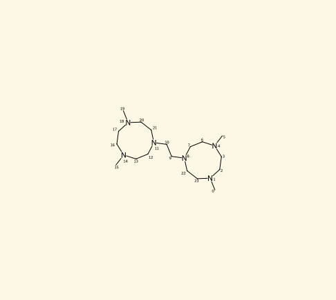 CN1CCN(C)CCN(CCN2CCN(C)CCN(C)CC2)CC1